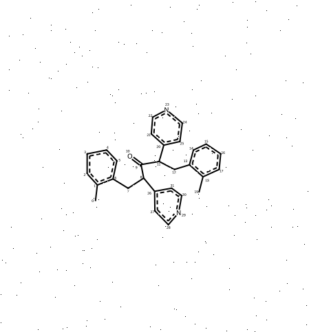 Cc1ccccc1CC(C(=O)C(Cc1ccccc1C)c1ccncc1)c1ccncc1